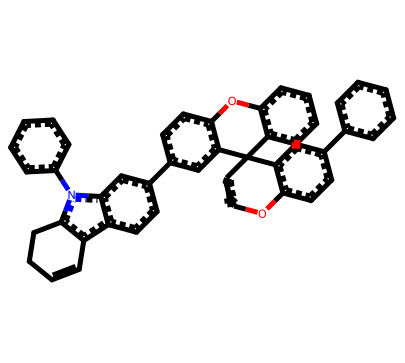 C1=Cc2c(n(-c3ccccc3)c3cc(-c4ccc5c(c4)C4(c6ccccc6Oc6ccc(-c7ccccc7)cc64)c4ccccc4O5)ccc23)CC1